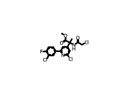 COC(=O)C(C)(NC(=O)CCl)c1cc(Cl)nc(-c2ccc(F)c(Cl)c2)c1